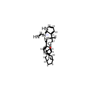 N#Cc1ccc(N2C3CCC2CN(C(=O)COCC(F)(F)c2ccc[nH]/c2=N\C=N)C3)nc1